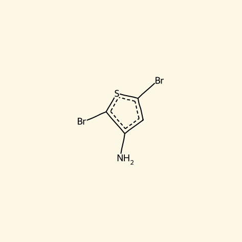 Nc1cc(Br)sc1Br